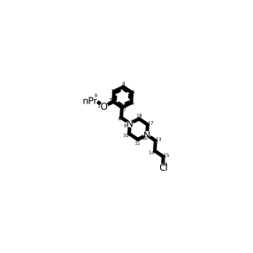 CCCOc1ccccc1CN1CCN(CCCCl)CC1